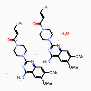 CCCC=CC(=O)N1CCN(c2nc(N)c3cc(OC)c(OC)cc3n2)CC1.CCCC=CC(=O)N1CCN(c2nc(N)c3cc(OC)c(OC)cc3n2)CC1.O